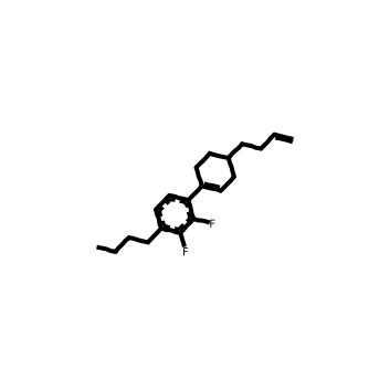 C=CCCC1CC=C(c2ccc(CCCC)c(F)c2F)CC1